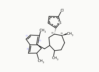 CC1=C\CC(C)/C=C(CCC2C[C@H](c3ccc(Cl)s3)[C@@H](C)CCC2C)/C=C\1